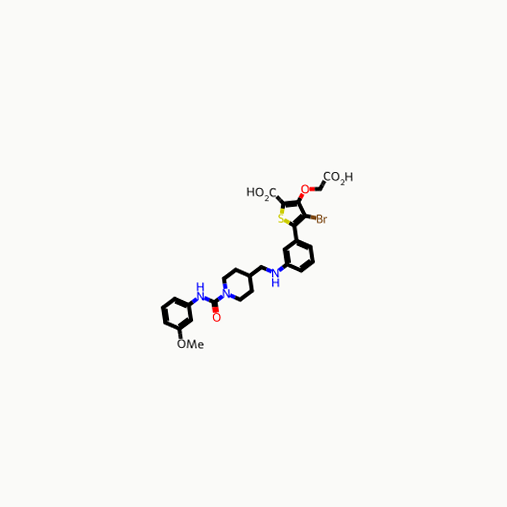 COc1cccc(NC(=O)N2CCC(CNc3cccc(-c4sc(C(=O)O)c(OCC(=O)O)c4Br)c3)CC2)c1